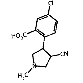 CN1CC(C#N)C(c2ccc(Cl)cc2C(=O)O)C1